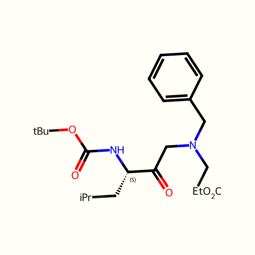 CCOC(=O)CN(CC(=O)[C@H](CC(C)C)NC(=O)OC(C)(C)C)Cc1ccccc1